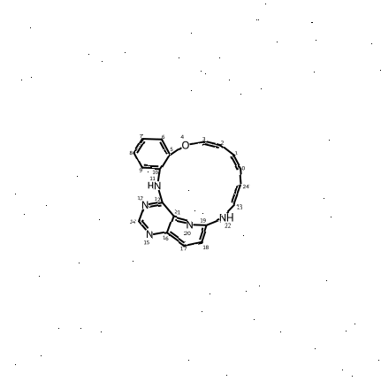 c1cccoc2ccccc2[nH]c2ncnc3ccc(nc32)[nH]cc1